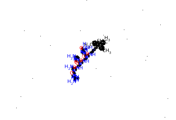 Cc1ccc(C(C)C(c2ccc(C)cc2)C(CCCCCCCNC(=O)CN(CCNC(=O)CN(CCNC(=O)CN(CCN)C(=O)Cn2cnc3c(N)ncnc32)C(=O)Cn2ccc(N)nc2=O)C(=O)Cn2cnc3c(=O)[nH]c(N)nc32)c2ccc(C)cc2)cc1